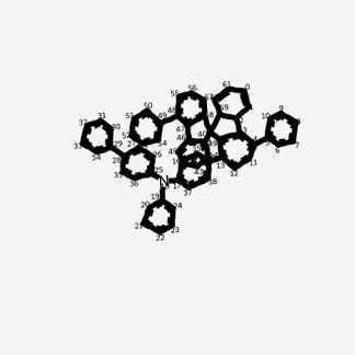 C1=CC2c3c(-c4ccccc4)ccc(-c4ccc(N(c5ccccc5)c5ccc(-c6ccccc6)cc5)cc4)c3C3(c4ccccc4-c4c(-c5ccccc5)cccc43)C2C=C1